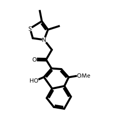 COc1cc(C(=O)CN2CSC(C)=C2C)c(O)c2ccccc12